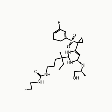 CC[C@](C)(CCCNC(=O)NCCF)C1NC(C2(S(=O)(=O)C3=CC(F)=CCC3)CC2)=C[C@@H](N[C@@H](C)CO)N1